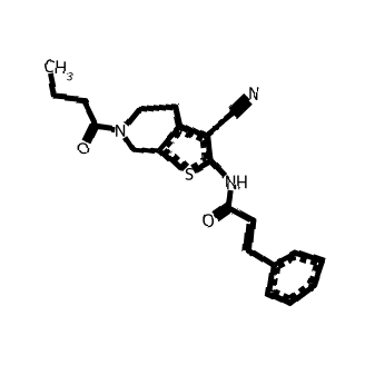 CCCC(=O)N1CCc2c(sc(NC(=O)C=Cc3ccccc3)c2C#N)C1